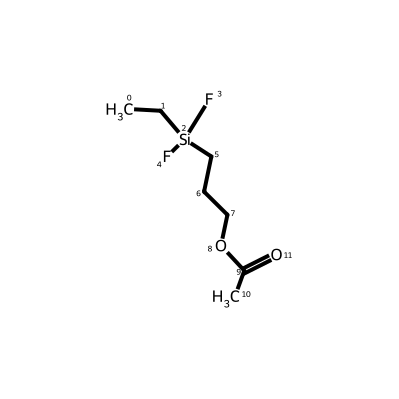 CC[Si](F)(F)CCCOC(C)=O